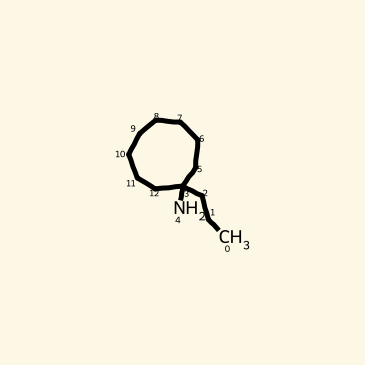 CCCC1(N)CCCCCCCC1